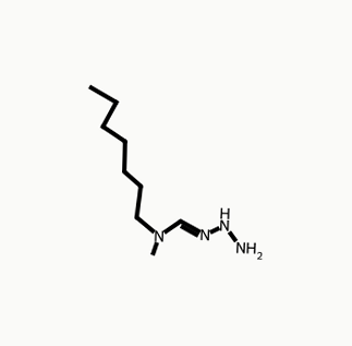 CCCCCCCN(C)C=NNN